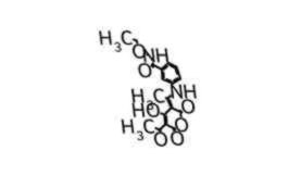 CCONC(=O)c1cccc(N/C(C)=C2\C(=O)OC(=O)C(C(C)=O)=C2O)c1